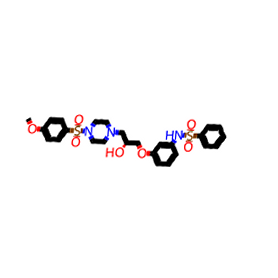 COc1ccc(S(=O)(=O)N2CCN(C[C@H](O)COc3cccc(NS(=O)(=O)c4ccccc4)c3)CC2)cc1